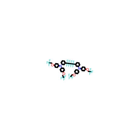 FC(F)(F)COc1ccc(N(c2ccc(OCC(F)(F)F)cc2)c2cccc(C(F)(F)C(F)(F)C(F)(F)C(F)(F)c3cccc(N(c4ccc(OCC(F)(F)F)cc4)c4ccc(OCC(F)(F)F)cc4)c3)c2)cc1